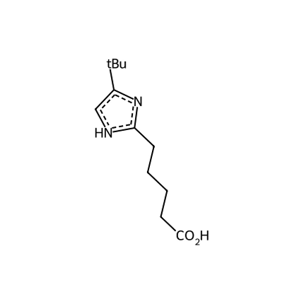 CC(C)(C)c1c[nH]c(CCCCC(=O)O)n1